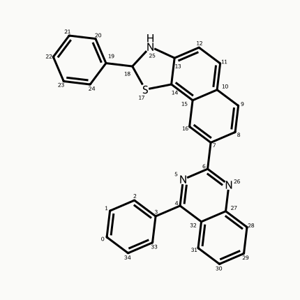 c1ccc(-c2nc(-c3ccc4ccc5c(c4c3)SC(c3ccccc3)N5)nc3ccccc23)cc1